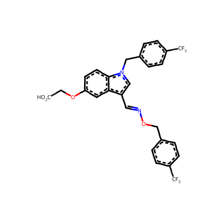 O=C(O)COc1ccc2c(c1)c(/C=N/OCc1ccc(C(F)(F)F)cc1)cn2Cc1ccc(C(F)(F)F)cc1